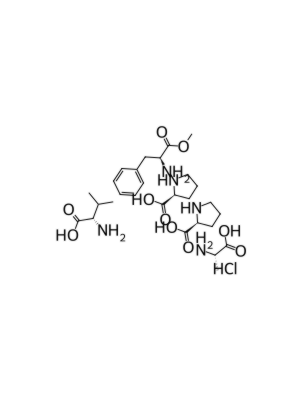 CC(C)[C@H](N)C(=O)O.COC(=O)[C@@H](N)Cc1ccccc1.C[C@H](N)C(=O)O.Cl.O=C(O)[C@@H]1CCCN1.O=C(O)[C@@H]1CCCN1